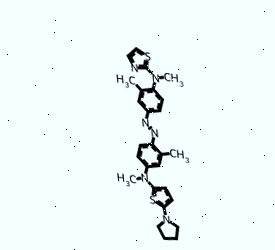 Cc1cc(N(C)c2ccc(N3CCCC3)s2)ccc1/N=N/c1ccc(N(C)c2nccs2)c(C)c1